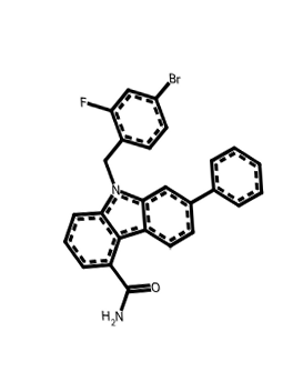 NC(=O)c1cccc2c1c1[c]cc(-c3ccccc3)cc1n2Cc1ccc(Br)cc1F